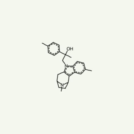 Cc1ccc(C(C)(O)Cn2c3c(c4cc(C)ccc42)C2CCC(C3)N2C)cc1